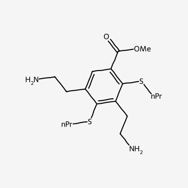 CCCSc1c(CCN)cc(C(=O)OC)c(SCCC)c1CCN